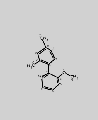 COc1cccnc1-c1ccc(C)cc1C